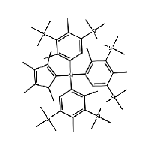 CC1=C(C)C(C)C([Si](c2cc([Si](C)(C)C)c(C)c([Si](C)(C)C)c2C)(c2cc([Si](C)(C)C)c(C)c([Si](C)(C)C)c2C)c2cc([Si](C)(C)C)c(C)c([Si](C)(C)C)c2C)=C1C